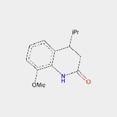 COc1cccc2c1NC(=O)CC2C(C)C